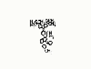 Cc1cccc(N(c2ccccc2)c2cc3c(c4ccccc24)-c2ccc(-n4c5ccc([Si](C)(C)C)cc5c5cc([Si](C)(C)C)ccc54)cc2C3(C)C)c1